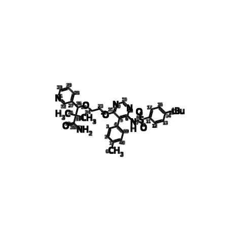 Cc1ccc(-c2c(NS(=O)(=O)c3ccc(C(C)(C)C)cc3)ncnc2OCCOC(c2cccnc2)C(C)(C)C(N)=O)cc1